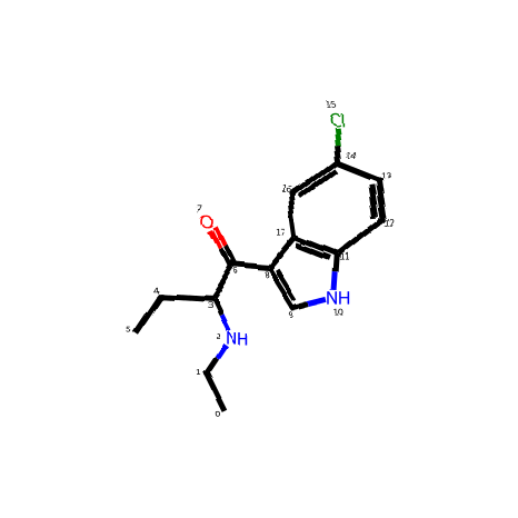 CCNC(CC)C(=O)c1c[nH]c2ccc(Cl)cc12